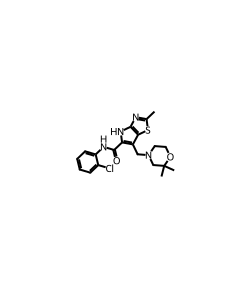 Cc1nc2[nH]c(C(=O)Nc3ccccc3Cl)c(CN3CCOC(C)(C)C3)c2s1